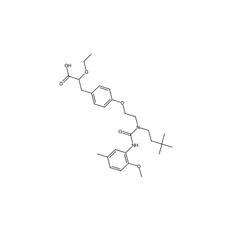 CCOC(Cc1ccc(OCCN(CCC(C)(C)C)C(=O)Nc2cc(C)ccc2OC)cc1)C(=O)O